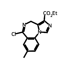 CCOC(=O)c1ncn2c1CN=C(Cl)c1cc(C)ccc1-2